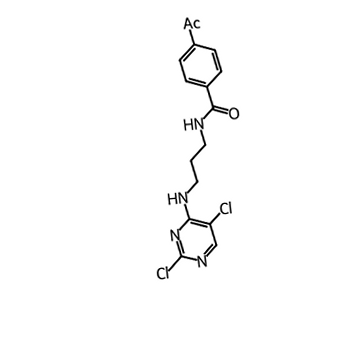 CC(=O)c1ccc(C(=O)NCCCNc2nc(Cl)ncc2Cl)cc1